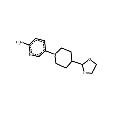 Nc1ccc(N2CCC(C3OCCO3)CC2)cn1